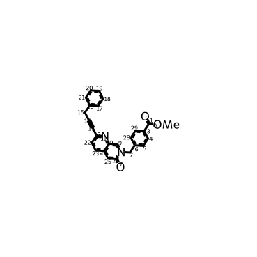 COC(=O)c1ccc(Cn2cc3nc(C#CCc4ccccc4)ccc3cc2=O)cc1